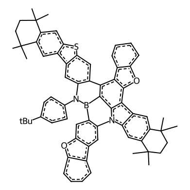 CC(C)(C)c1ccc(N2B3c4cc5oc6ccccc6c5cc4-n4c5cc6c(cc5c5c7oc8ccccc8c7c(c3c54)-c3cc4sc5cc7c(cc5c4cc32)C(C)(C)CCC7(C)C)C(C)(C)CCC6(C)C)cc1